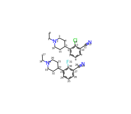 CCN1CCC(c2cccc(C#N)c2Cl)CC1.CCN1CCC(c2cccc(C#N)c2F)CC1